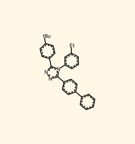 CCc1cccc(-n2c(-c3ccc(-c4ccccc4)cc3)nnc2-c2ccc(C(C)(C)C)cc2)c1